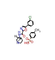 Cc1ccc(S(=O)(=O)O)cc1.O=C(N[C@H]1CN2CCC1CC2)c1ncc(-c2cccc(Cl)c2)o1